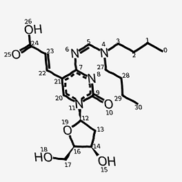 CCCCN(/C=N\c1nc(=O)n([C@H]2C[C@@H](O)[C@@H](CO)O2)cc1/C=C/C(=O)O)CCCC